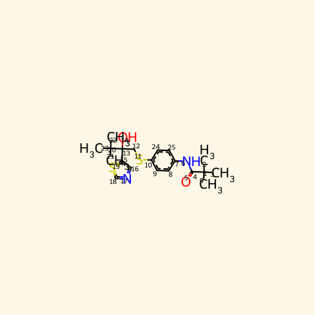 CC(C)(C)C(=O)Nc1ccc(SCC(O)(c2cncs2)C(C)(C)C)cc1